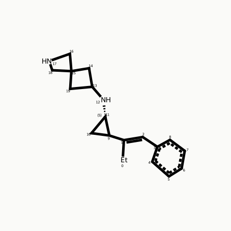 CCC(=Cc1ccccc1)C1C[C@@H]1NC1CC2(CNC2)C1